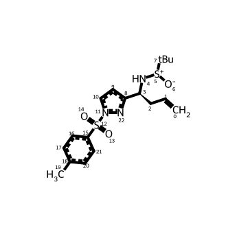 C=CC[C@H](N[S+]([O-])C(C)(C)C)c1ccn(S(=O)(=O)c2ccc(C)cc2)n1